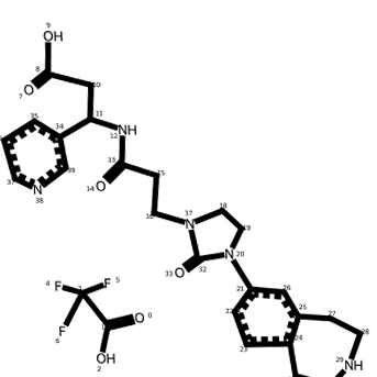 O=C(O)C(F)(F)F.O=C(O)CC(NC(=O)CCN1CCN(c2ccc3c(c2)CCNCC3)C1=O)c1cccnc1